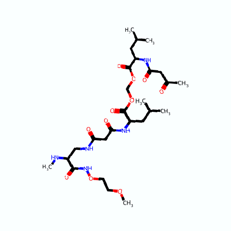 CNC(CNC(=O)CC(=O)NC(CC(C)C)C(=O)OCOC(=O)C(CC(C)C)NC(=O)CC(C)=O)C(=O)NOCCOC